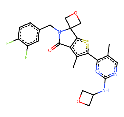 Cc1cnc(NC2COC2)nc1-c1sc2c(c1C)C(=O)N(Cc1ccc(F)c(F)c1)C21COC1